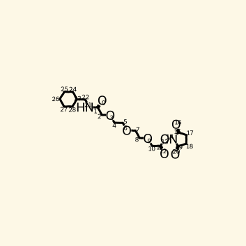 O=C(COCCOCCOCC(=O)ON1C(=O)CCC1=O)NCC1CCCCC1